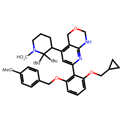 COc1ccc(COc2cccc(OCC3CC3)c2-c2cc(C3CCCN(C(=O)O)C3(C(C)(C)C)C(C)(C)C)c3c(n2)NCOC3)cc1